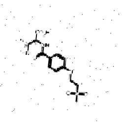 C[C@@H](O)[C@H](NC(=O)c1ccc(OCCS(C)(=O)=O)cc1)C(=O)O